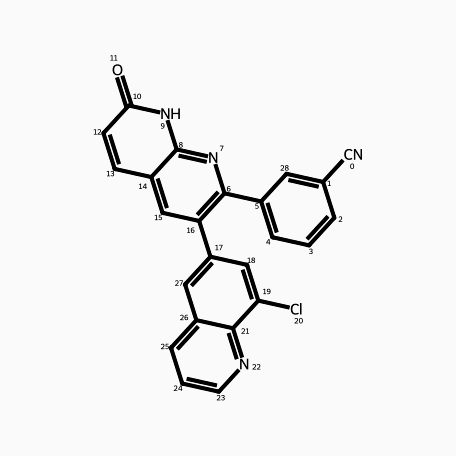 N#Cc1cccc(-c2nc3[nH]c(=O)ccc3cc2-c2cc(Cl)c3ncccc3c2)c1